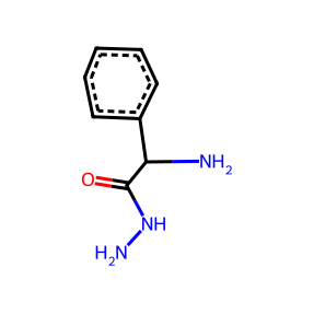 NNC(=O)C(N)c1ccccc1